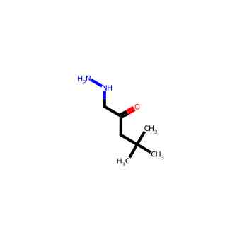 CC(C)(C)CC(=O)CNN